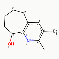 CCc1cc2c(nc1C)C(O)CCCC2